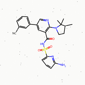 CC1CCN(c2ncc(-c3cccc(C#N)c3)cc2C(=O)NS(=O)(=O)c2cccc(N)n2)C1(C)C